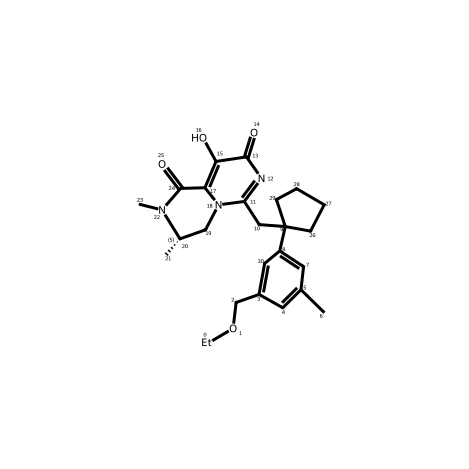 CCOCc1cc(C)cc(C2(Cc3nc(=O)c(O)c4n3C[C@H](C)N(C)C4=O)CCCC2)c1